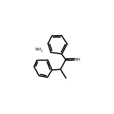 CC(C(=N)c1ccccc1)c1ccccc1.N